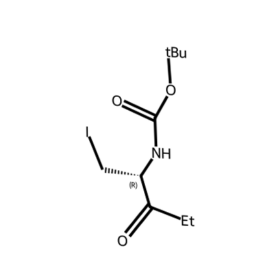 CCC(=O)[C@H](CI)NC(=O)OC(C)(C)C